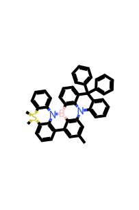 Cc1cc2c3c(c1)N1c4ccccc4C(c4ccccc4)(c4ccccc4)c4cccc(c41)B3N1c3ccccc3S(C)(C)c3cccc-2c31